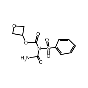 NC(=O)N(C(=O)OC1COC1)S(=O)(=O)c1ccccc1